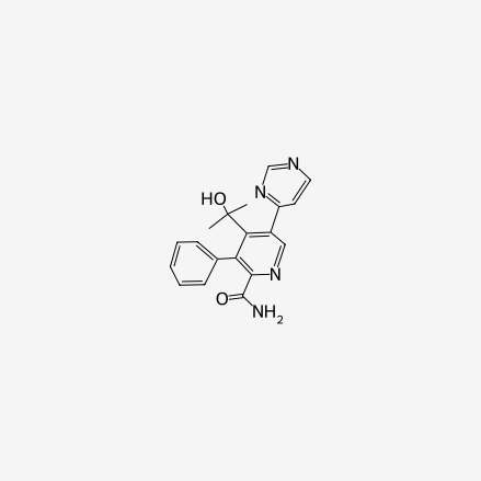 CC(C)(O)c1c(-c2ccncn2)cnc(C(N)=O)c1-c1ccccc1